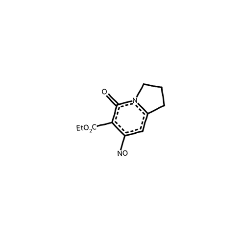 CCOC(=O)c1c(N=O)cc2n(c1=O)CCC2